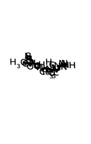 CONC(=O)N(Cc1ccsc1)C1CCN(C(C)CCNC(=O)c2c(C)cc(-c3nn[nH]n3)nc2C)CC1